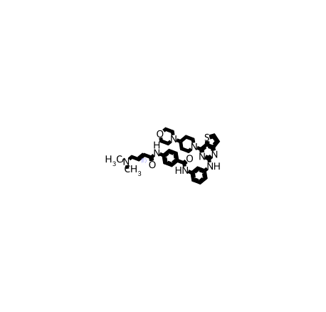 CN(C)C/C=C/C(=O)Nc1ccc(C(=O)Nc2cccc(Nc3nc(N4CCC(N5CCOCC5)CC4)c4sccc4n3)c2)cc1